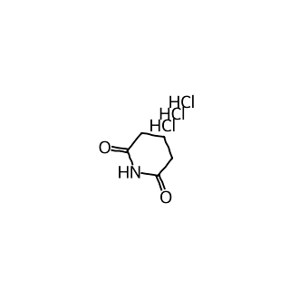 Cl.Cl.Cl.O=C1CCCC(=O)N1